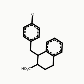 O=C(O)C1CCc2ccccc2C1Cc1ccc(Cl)cc1